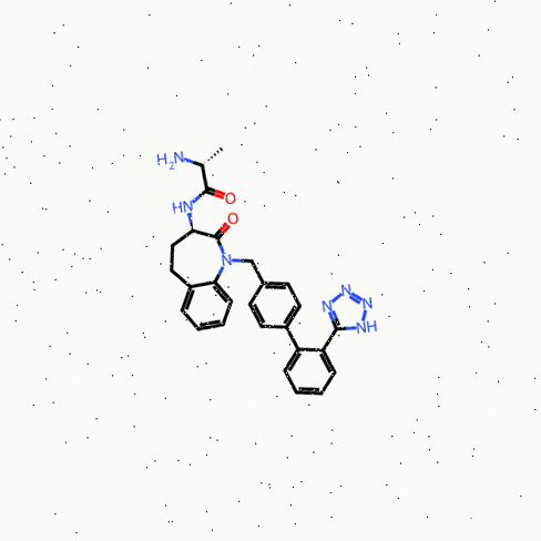 C[C@@H](N)C(=O)N[C@@H]1CCc2ccccc2N(Cc2ccc(-c3ccccc3-c3nnn[nH]3)cc2)C1=O